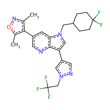 Cc1noc(C)c1-c1cnc2c(-c3cnn(CC(F)(F)F)c3)cn(CC3CCC(F)(F)CC3)c2c1